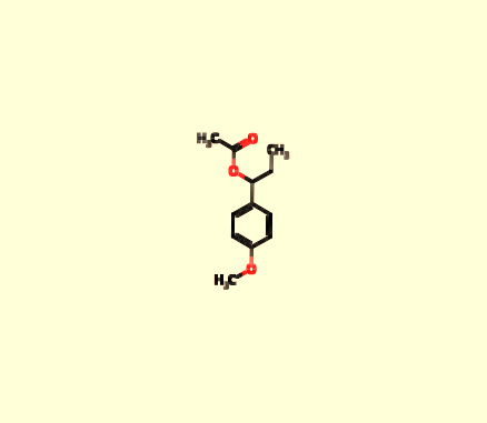 CCC(OC(C)=O)c1ccc(OC)cc1